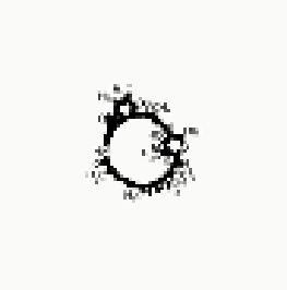 C/C1=C/C=C/[C@H](C)[C@H](O)[C@@H](C)[C@@H](O)[C@@H](C)[C@@H]2OC(O)[C@@H](/C=C(\C)C(=O)c3c(O)c(C)c(O)c4c3C(=O)C=C(NC1=O)C4=O)[C@H](O)[C@H]2C